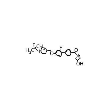 CC(C)(F)CN1CCC(COc2ccc(-c3ccc(C(=O)N4CCC(O)C4)cc3)c(F)c2)CC1